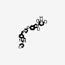 O=C1CC[C@H](N2Cc3cc(O[C@H]4CCN(Cc5ccc6nc([C@@H]7CCOC7)ncc6c5)C4)ccc3C2=O)C(=O)N1